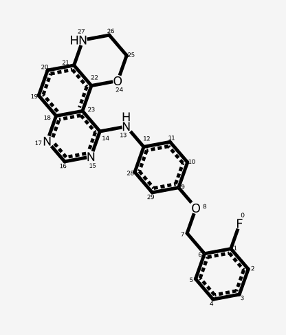 Fc1ccccc1COc1ccc(Nc2ncnc3ccc4c(c23)OCCN4)cc1